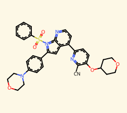 N#Cc1nc(-c2ccnc3c2cc(-c2ccc(N4CCOCC4)cc2)n3S(=O)(=O)c2ccccc2)ccc1OC1CCOCC1